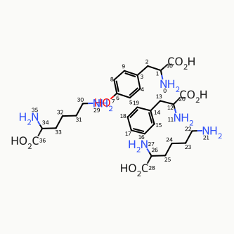 NC(Cc1ccc(O)cc1)C(=O)O.NC(Cc1ccccc1)C(=O)O.NCCCCC(N)C(=O)O.NCCCCC(N)C(=O)O